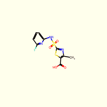 Cc1nc(S(=O)(=O)Nc2cccc(F)n2)sc1C(=O)O